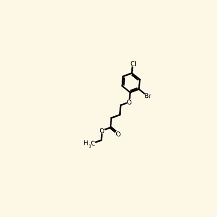 CCOC(=O)CCCOc1ccc(Cl)cc1Br